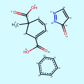 CC1(C(=O)O)C=CC=C(C(=O)O)C1.O=C1C=CN=N1.c1ccccc1